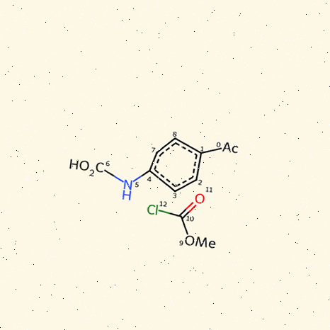 CC(=O)c1ccc(NC(=O)O)cc1.COC(=O)Cl